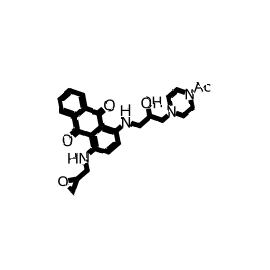 CC(=O)N1CCN(CC(O)CNc2ccc(NCC3CO3)c3c2C(=O)c2ccccc2C3=O)CC1